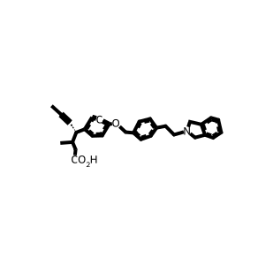 CC#C[C@H](c1ccc(OCc2ccc(CCN3Cc4ccccc4C3)cc2)cc1)C(C)CC(=O)O